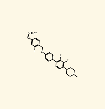 CCCCCCCOc1ccc(COc2ccc(-c3ccc(C4CCC(C)CC4)c(F)c3F)cc2)c(F)c1